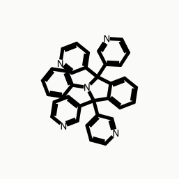 c1ccc(N2C(c3cccnc3)(c3cccnc3)c3ccccc3C2(c2cccnc2)c2cccnc2)cc1